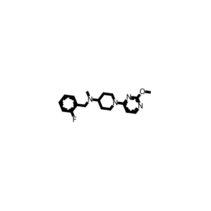 COc1nccc(N2CCC(N(C)Cc3ccccc3F)CC2)n1